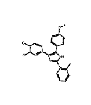 COc1ccc(-c2[nH]c(-c3ccc[c]c3C)nc2-c2ccc(Cl)c(Cl)c2)cc1